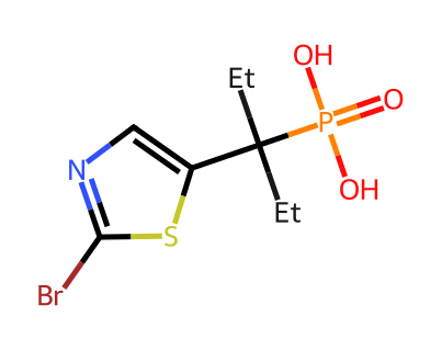 CCC(CC)(c1cnc(Br)s1)P(=O)(O)O